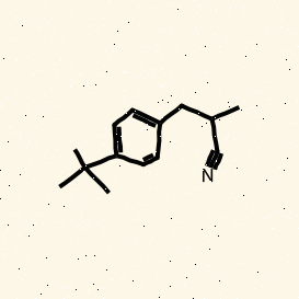 CC(C#N)Cc1ccc(C(C)(C)C)cc1